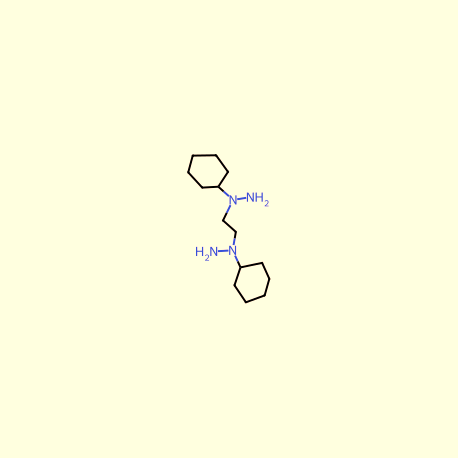 NN(CCN(N)C1CCCCC1)C1CCCCC1